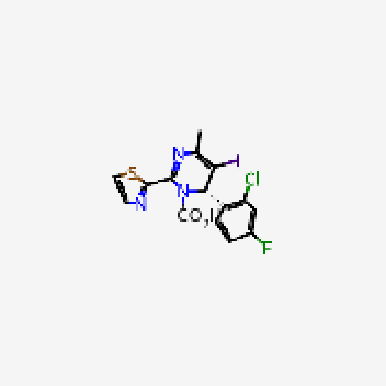 CC1=C(I)[C@H](c2ccc(F)cc2Cl)N(C(=O)O)C(c2nccs2)=N1